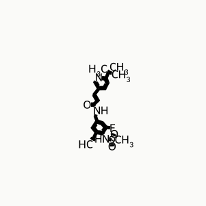 C#Cc1cc(CNC(=O)C=Cc2ccc(C(C)(C)C)nc2)cc(F)c1NS(C)(=O)=O